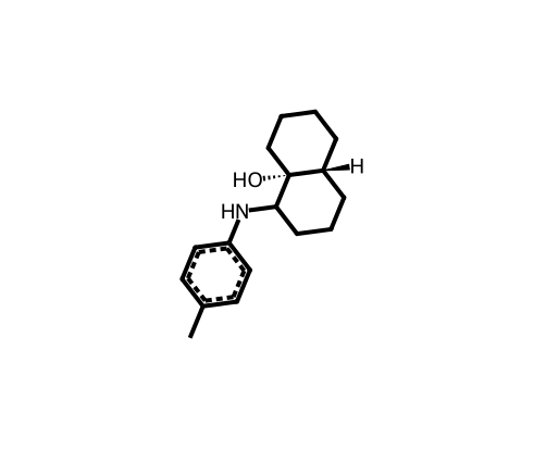 Cc1ccc(NC2CCC[C@H]3CCCC[C@]23O)cc1